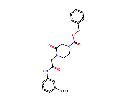 O=C(CN1CCN(C(=O)OCc2ccccc2)CC1=O)Nc1cccc(C(=O)O)c1